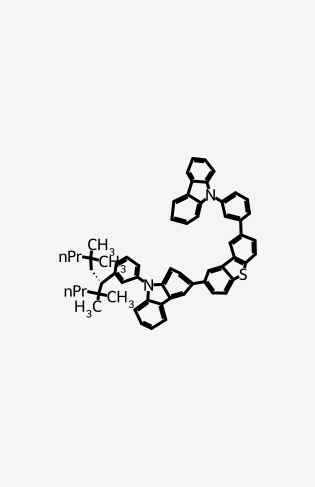 CCCC(C)(C)C[C@H](c1cccc(-n2c3ccccc3c3cc(-c4ccc5sc6ccc(-c7cccc(-n8c9ccccc9c9ccccc98)c7)cc6c5c4)ccc32)c1)C(C)(C)CCC